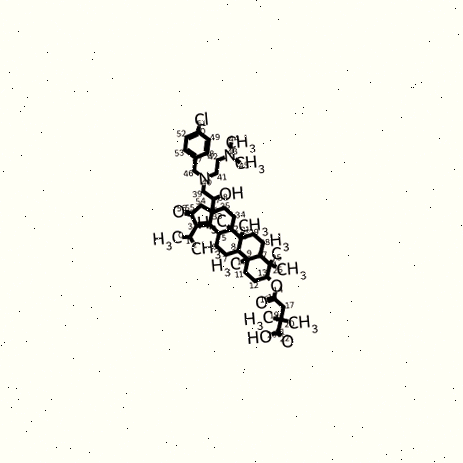 CC(C)C1=C2C3CCC4C5(C)CCC(OC(=O)CC(C)(C)C(=O)O)C(C)(C)C5CCC4(C)C3(C)CCC2(C(O)CN(CCN(C)C)Cc2ccc(Cl)cc2)CC1=O